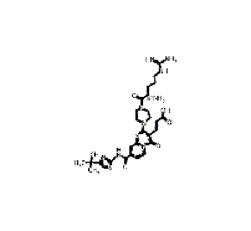 CC(C)(C)c1csc(NC(=O)c2ccn3c(=O)c(/C=C/C(=O)O)c(N4CCN(C(=O)[C@@H](N)CCCNC(=N)N)CC4)nc3c2)n1